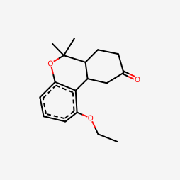 CCOc1cccc2c1C1CC(=O)CCC1C(C)(C)O2